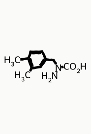 Cc1ccc(CN(N)C(=O)O)cc1C